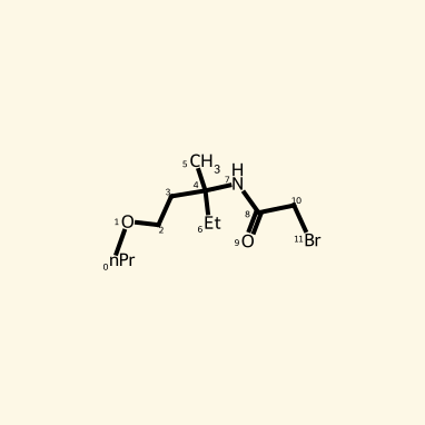 CCCOCCC(C)(CC)NC(=O)CBr